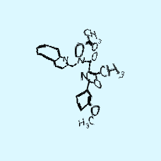 COc1cccc(-c2nc(C(=O)N(Cc3ccc4ccccc4n3)OC(C)=O)c(C)o2)c1